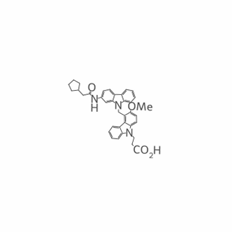 COc1ccc2c(c1Cn1c3ccccc3c3ccc(NC(=O)CC4CCCC4)cc31)c1ccccc1n2CCC(=O)O